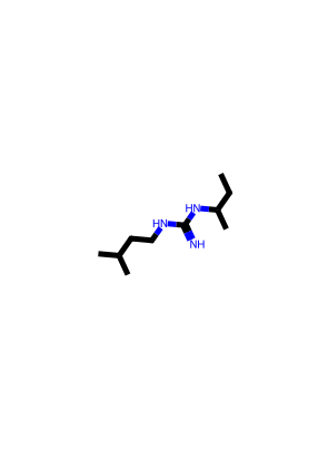 CCC(C)NC(=N)NCCC(C)C